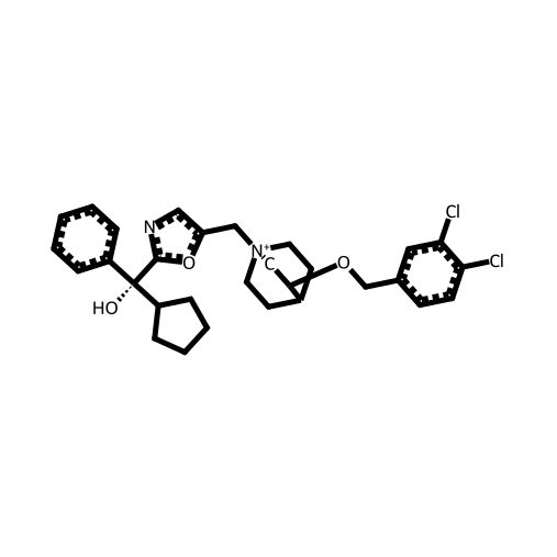 O[C@](c1ccccc1)(c1ncc(C[N+]23CCC(CC2)C(OCc2ccc(Cl)c(Cl)c2)C3)o1)C1CCCC1